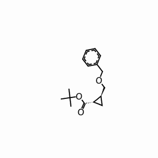 CC(C)(C)OC(=O)[C@H]1C[C@@H]1COCc1ccccc1